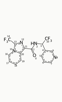 O=C(NC(c1cccnc1)C(F)(F)F)c1nc(C(F)(F)F)n2ccccc12